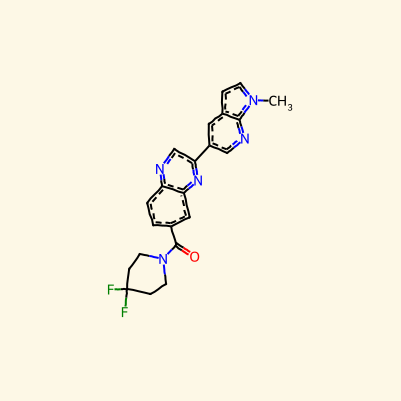 Cn1ccc2cc(-c3cnc4ccc(C(=O)N5CCC(F)(F)CC5)cc4n3)cnc21